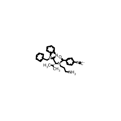 [C-]#[N+]c1ccc(C(=O)N(CCCN)[C@@H](c2nc3ccccc3n2Cc2ccccc2)C(C)C)cc1